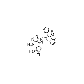 Cc1cccc2cc(Cn3nc(-c4ccc(Cl)c(O)c4)c4c(N)ncnc43)n(-c3ccccc3F)c(=O)c12